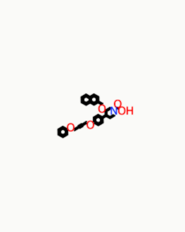 O=C(O)N1CCC(c2ccc(OCC#CCOc3ccccc3)cc2)C(OCc2ccc3ccccc3c2)C1